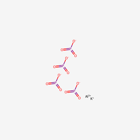 O=P(=O)[O-].O=P(=O)[O-].O=P(=O)[O-].O=P(=O)[O-].[Al+3].[K+]